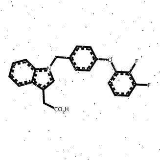 O=C(O)Cc1cn(Cc2ccc(Oc3cccc(F)c3F)cc2)c2ccccc12